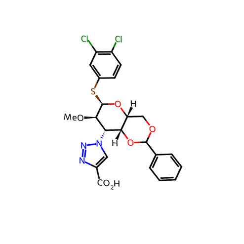 CO[C@@H]1[C@@H](n2cc(C(=O)O)nn2)[C@H]2OC(c3ccccc3)OC[C@H]2O[C@@H]1Sc1ccc(Cl)c(Cl)c1